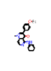 CCOc1ccc(-c2cn(C)c3ccnc(Nc4ccccc4)c3c2=O)cc1